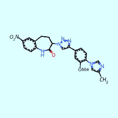 COc1cc(-c2cn(C3CCc4cc([N+](=O)[O-])ccc4NC3=O)nn2)ccc1-n1cnc(C)c1